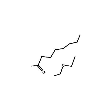 CCCCCCCC(C)=O.CCOCC